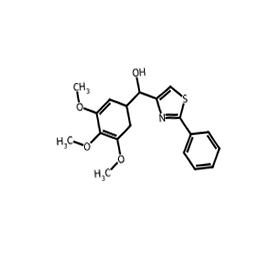 COC1=CC(C(O)c2csc(-c3ccccc3)n2)CC(OC)=C1OC